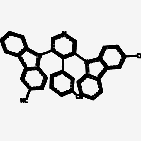 N#Cc1cccc(-c2c(-n3c4ccccc4c4cc(C#N)ccc43)cncc2-n2c3ccccc3c3cc(C#N)ccc32)c1